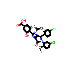 Cc1ccc(Cl)cc1N1C(=O)c2nc(-c3ccc(C(=O)O)cc3O)n(C(C)C)c2C1c1ccc(Cl)cc1